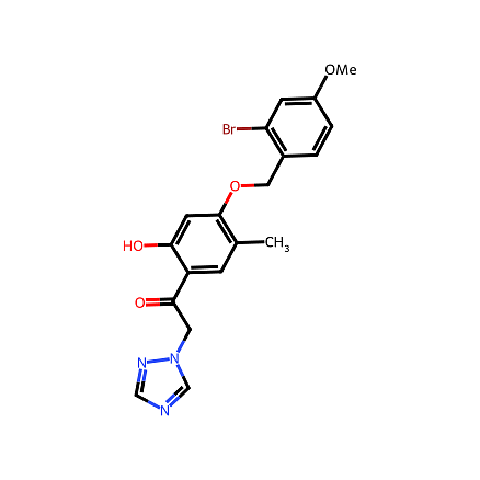 COc1ccc(COc2cc(O)c(C(=O)Cn3cncn3)cc2C)c(Br)c1